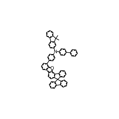 CC1(C)c2ccccc2-c2ccc(N(c3ccc(-c4ccccc4)cc3)c3ccc(-c4cccc5c4oc4c6c(ccc45)C4(c5ccccc5-c5ccccc54)c4ccccc4-6)cc3)cc21